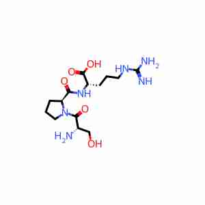 N=C(N)NCCC[C@H](NC(=O)[C@@H]1CCCN1C(=O)[C@@H](N)CO)C(=O)O